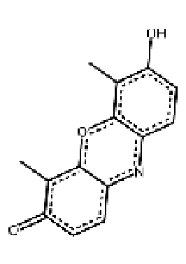 Cc1c2oc3c(C)c(O)ccc3nc-2ccc1=O